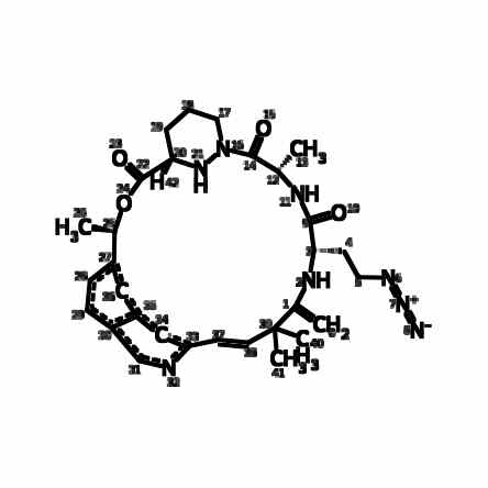 C=C1N[C@@H](CCN=[N+]=[N-])C(=O)N[C@@H](C)C(=O)N2CCC[C@H](N2)C(=O)O[C@H](C)c2ccc3cnc(cc3c2)/C=C/C1(C)C